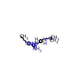 CCCCCCN1CCN(c2cc(N)nc(NCc3ccc(CNCCCN(C)C)cc3)n2)CC1